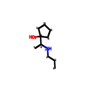 CCCNC(C)C1(O)CCCC1